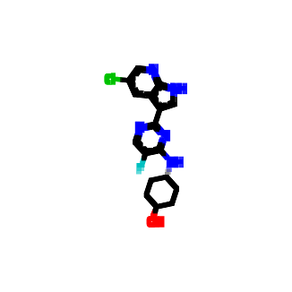 O[C@H]1CC[C@H](Nc2nc(-c3c[nH]c4ncc(Cl)cc34)ncc2F)CC1